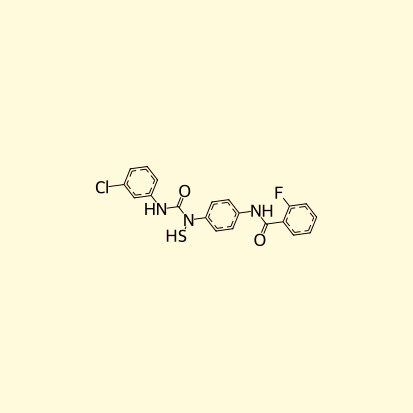 O=C(Nc1ccc(N(S)C(=O)Nc2cccc(Cl)c2)cc1)c1ccccc1F